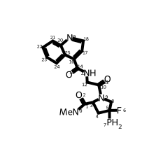 CNC(=O)C1CC(F)(P)CN1C(=O)CNC(=O)c1ccnc2ccccc12